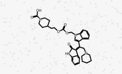 O=C(OCCC1CCN(C(=O)O)CC1)OCn1cc(C(CN2CCCCC2)=C2C(=O)Nc3ccccc32)c2ccccc21